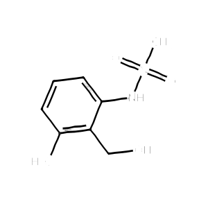 Cc1cccc(NS(C)(=O)=O)c1CO